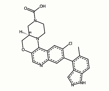 Cc1ccc2[nH]ncc2c1-c1cc2ncc3c(c2cc1Cl)N1CCN(C(=O)O)C[C@@H]1CO3